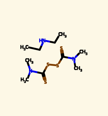 CCNCC.CN(C)C(=S)SSC(=S)N(C)C